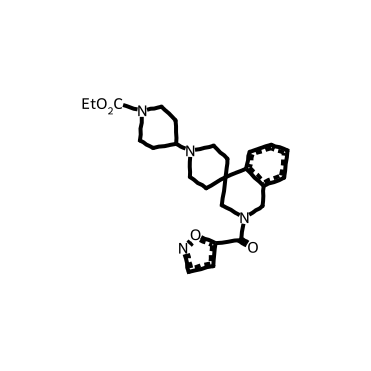 CCOC(=O)N1CCC(N2CCC3(CC2)CN(C(=O)c2ccno2)Cc2ccccc23)CC1